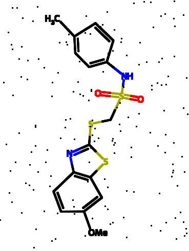 COc1ccc2nc(SCS(=O)(=O)Nc3ccc(C)cc3)sc2c1